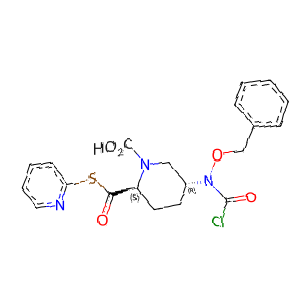 O=C(Sc1ccccn1)[C@@H]1CC[C@@H](N(OCc2ccccc2)C(=O)Cl)CN1C(=O)O